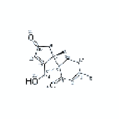 CC1=CC(=O)[C@@](C)([C@@]2(C)CC(=O)C=C2CO)CC1